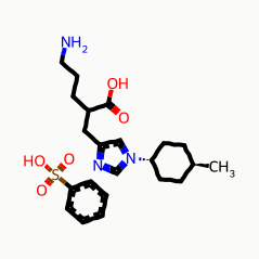 C[C@H]1CC[C@H](n2cnc(CC(CCCN)C(=O)O)c2)CC1.O=S(=O)(O)c1ccccc1